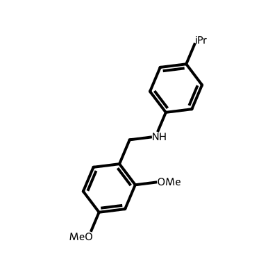 COc1ccc(CNc2ccc(C(C)C)cc2)c(OC)c1